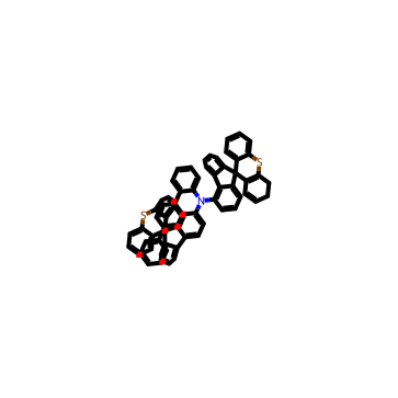 C1=CC2=C(CC1)Sc1ccccc1C21c2ccccc2-c2c(N(c3ccc4c(c3)C3(c5ccccc5Sc5ccccc53)c3ccccc3-4)c3ccccc3-c3ccc(-c4ccccc4)cc3)cccc21